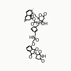 C[C@H]1C=C2C=C[C@H](C)[C@H](CC[C@@H]3C[C@@H](O)CC(=O)O3)[C@H]2[C@@H](OC(=O)NCc2cccc(CNC(=O)COc3cccc4c3C(=O)N(C3CCC(=O)NC3=O)C4=O)c2)C1